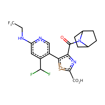 O=C(O)c1nc(C(=O)N2C3CCC2CC3)c(-c2cnc(NCC(F)(F)F)cc2C(F)F)s1